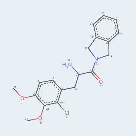 COc1ccc(CC(N)C(=O)N2Cc3ccccc3C2)c(Cl)c1OC